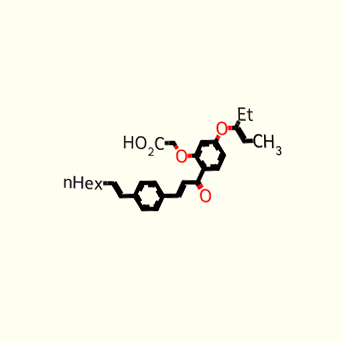 CC=C(CC)Oc1ccc(C(=O)C=Cc2ccc(C=CCCCCCC)cc2)c(OCC(=O)O)c1